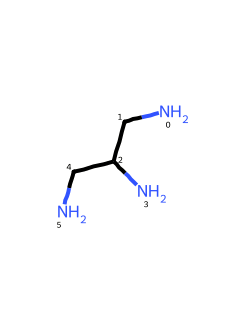 NCC(N)CN